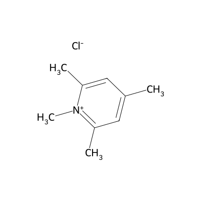 Cc1cc(C)[n+](C)c(C)c1.[Cl-]